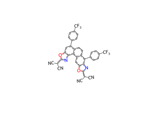 N#CC(C#N)=c1nc2c(-c3ccc(C(F)(F)F)cc3)c3ccc4c(-c5ccc(C(F)(F)F)cc5)cc5oc(=C(C#N)C#N)nc5c4c3cc2o1